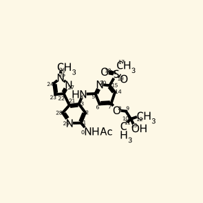 CC(=O)Nc1cc(Nc2cc(OCC(C)(C)O)cc(S(C)(=O)=O)n2)c(-c2ccn(C)n2)cn1